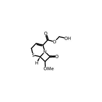 COC1C(=O)N2C(C(=O)OCO)=CCS[C@@H]12